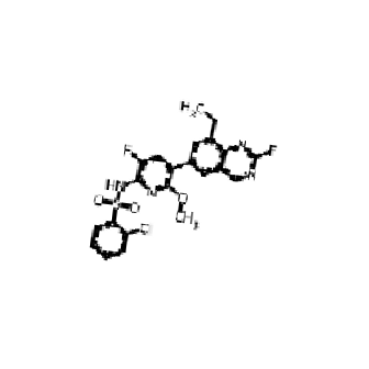 CCc1cc(-c2cc(F)c(NS(=O)(=O)c3ccccc3Cl)nc2OC)cc2cnc(F)nc12